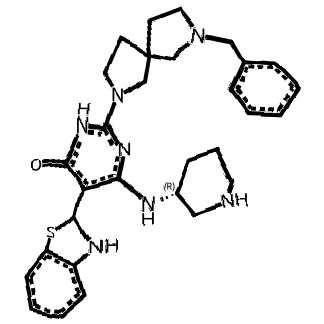 O=c1[nH]c(N2CCC3(CCN(Cc4ccccc4)C3)C2)nc(N[C@@H]2CCCNC2)c1C1Nc2ccccc2S1